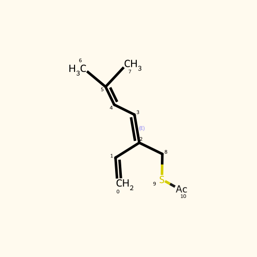 C=C/C(=C\C=C(C)C)CSC(C)=O